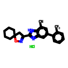 Cl.N#Cc1cc(-c2ccccc2C(F)(F)F)cc2nc(C3=NOC4(CCCCC4)C3)[nH]c12